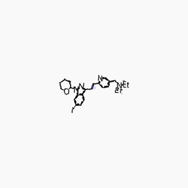 CCN(CC)Cc1ccc(/C=C/c2nn(C3CCCCO3)c3cc(I)ccc23)nc1